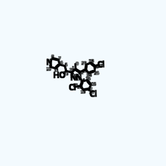 Cc1c(C(O)Cc2ccncc2)nn(-c2ccc(Cl)cc2Cl)c1-c1ccc(Cl)cc1